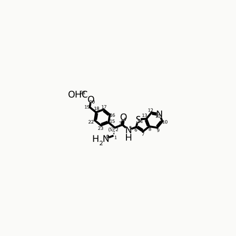 NC[C@@H](C(=O)Nc1cc2ccncc2s1)c1ccc(COC=O)cc1